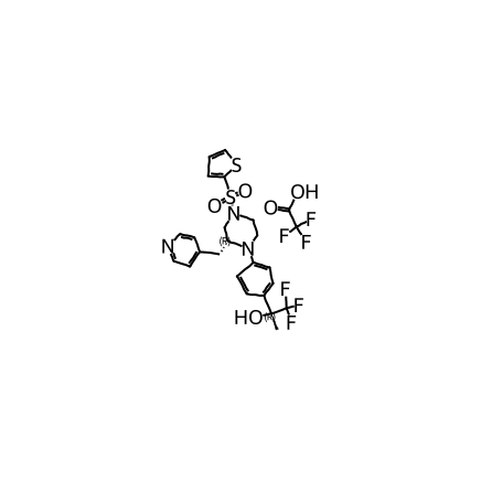 C[C@@](O)(c1ccc(N2CCN(S(=O)(=O)c3cccs3)C[C@H]2Cc2ccncc2)cc1)C(F)(F)F.O=C(O)C(F)(F)F